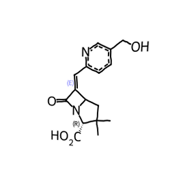 CC1(C)CC2/C(=C\c3ccc(CO)cn3)C(=O)N2[C@H]1C(=O)O